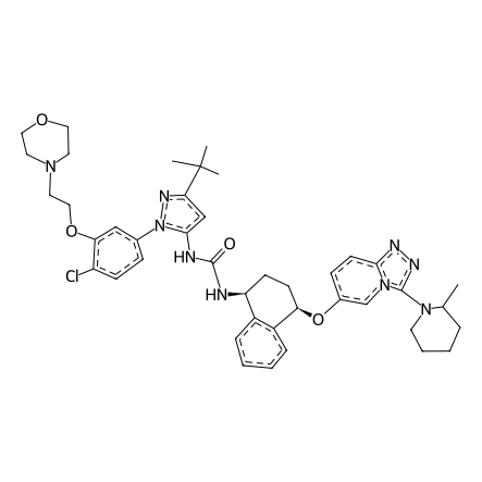 CC1CCCCN1c1nnc2ccc(O[C@@H]3CC[C@H](NC(=O)Nc4cc(C(C)(C)C)nn4-c4ccc(Cl)c(OCCN5CCOCC5)c4)c4ccccc43)cn12